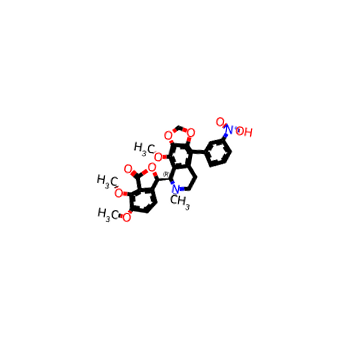 COc1ccc2c(c1OC)C(=O)OC2[C@H]1c2c(c(-c3cccc([N+](=O)O)c3)c3c(c2OC)OCO3)CCN1C